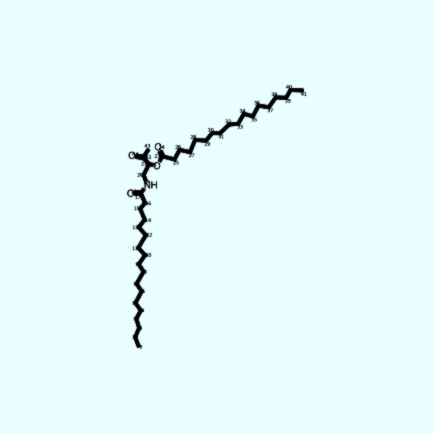 CCCCCCCCCCCCCCCCCC(=O)NCC(OC(=O)CCCCCCCCCCCCCCCCC)C(C)=O